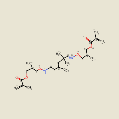 C=C(C)C(=O)OCC(C)CONCCC(C)CC(C)(C)CNOCC(C)COC(=O)C(=C)C